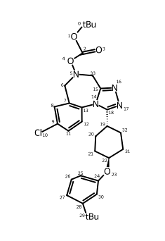 CC(C)(C)OC(=O)ON1Cc2cc(Cl)ccc2-n2c(nnc2[C@H]2CC[C@H](Oc3cccc(C(C)(C)C)c3)CC2)C1